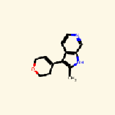 Cc1[nH]c2cnccc2c1C1=CCOCC1